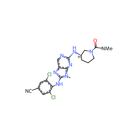 CNC(=O)N1CCC[C@@H](Nc2ncc3nc(Nc4c(Cl)cc(C#N)cc4Cl)n(C)c3n2)C1